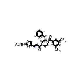 CC(=O)Nc1nc(/C=C/C(=O)N2CCN(C(=O)c3cc(C(F)(F)F)cc(C(F)(F)F)c3)[C@H](Cc3ccccc3)C2)cs1